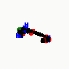 CNC(=O)c1ccccc1Nc1nc(Nc2cccc(CC(=O)OCCCCCCCCCCCOc3nonc3S(=O)(=O)c3ccccc3)c2)ncc1Cl